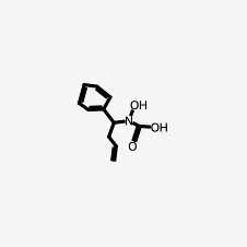 C=CCC(c1ccccc1)N(O)C(=O)O